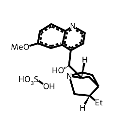 CC[C@@H]1CN2CCC1C[C@H]2[C@H](O)c1ccnc2ccc(OC)cc12.O=S(=O)(O)O